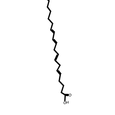 CCCCCCC=CC=CCC=CCC=CCCCC(=O)O